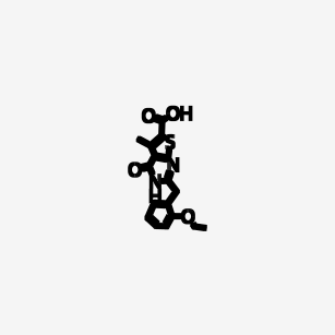 CCOc1ccccc1Cc1nc2sc(C(=O)O)c(C)c2c(=O)[nH]1